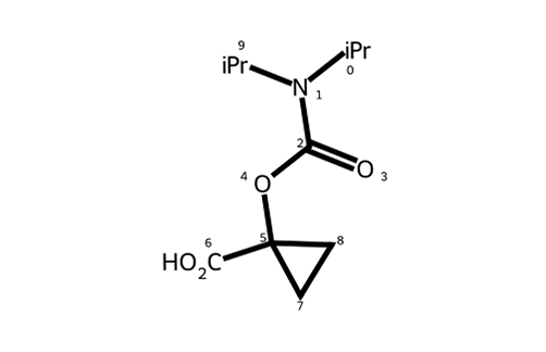 CC(C)N(C(=O)OC1(C(=O)O)CC1)C(C)C